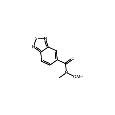 CON(C)C(=O)c1ccc2nsnc2c1